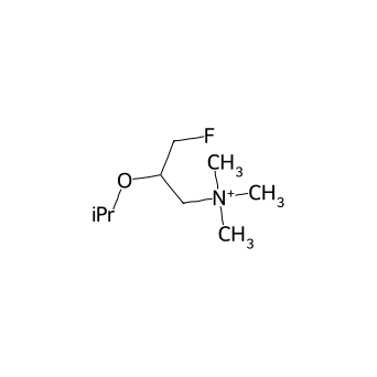 CC(C)OC(CF)C[N+](C)(C)C